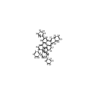 c1ccc(-c2nc(-c3ccccc3)nc(-c3ccc(-c4cc5ccccc5cc4-c4cc(-c5ccccn5)cc(-c5ccccn5)c4)cc3)n2)cc1